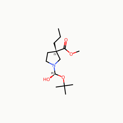 CCC[C@]1(C(=O)OC)CCN([C@H](O)OC(C)(C)C)C1